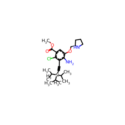 COC(=O)c1cc(OC[C@H]2CCCN2)c(N)c(C#C[Si](C(C)C)(C(C)C)C(C)C)c1Cl